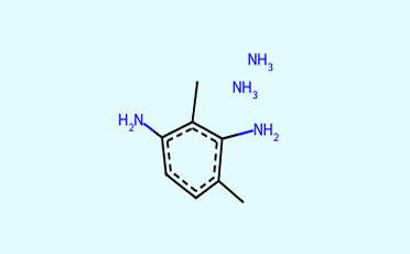 Cc1ccc(N)c(C)c1N.N.N